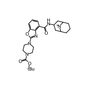 CN1C2CCCC1CC(NC(=O)c1cccc3oc(N4CCN(C(=O)OC(C)(C)C)CC4)nc13)C2